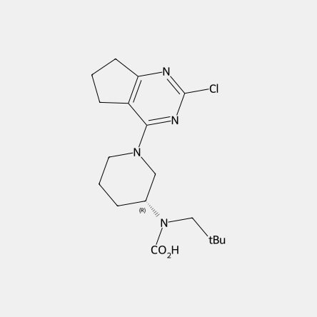 CC(C)(C)CN(C(=O)O)[C@@H]1CCCN(c2nc(Cl)nc3c2CCC3)C1